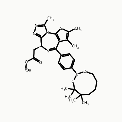 Cc1sc2c(c1C)C(c1ccc(B3OCCCCC(C)(C)C(C)(C)O3)cc1)=N[C@@H](CC(=O)OC(C)(C)C)c1nnc(C)n1-2